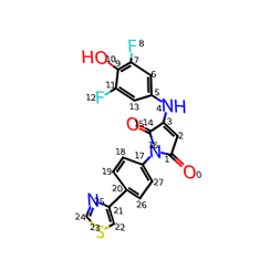 O=C1C=C(Nc2cc(F)c(O)c(F)c2)C(=O)N1c1ccc(-c2cscn2)cc1